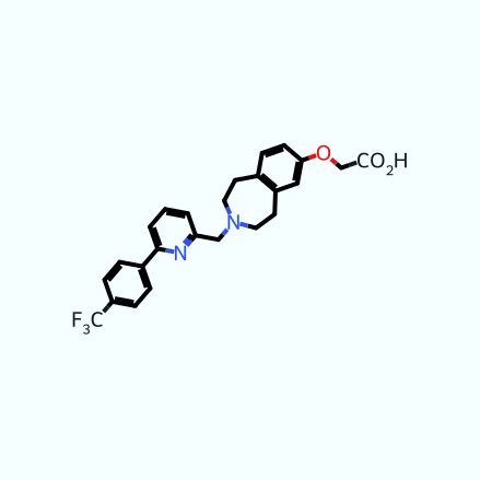 O=C(O)COc1ccc2c(c1)CCN(Cc1cccc(-c3ccc(C(F)(F)F)cc3)n1)CC2